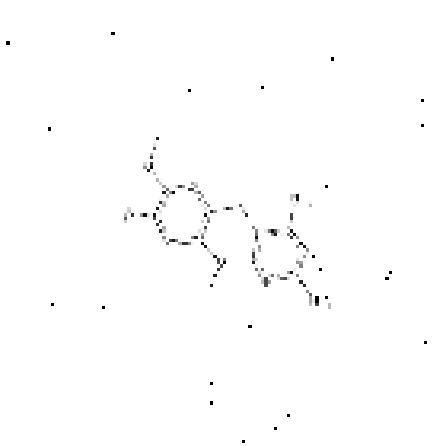 COc1cc(Cc2cnc(N)nc2N)c(OC)cc1N